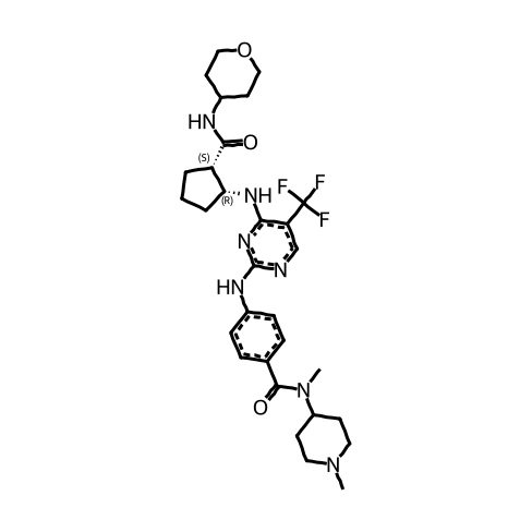 CN1CCC(N(C)C(=O)c2ccc(Nc3ncc(C(F)(F)F)c(N[C@@H]4CCC[C@@H]4C(=O)NC4CCOCC4)n3)cc2)CC1